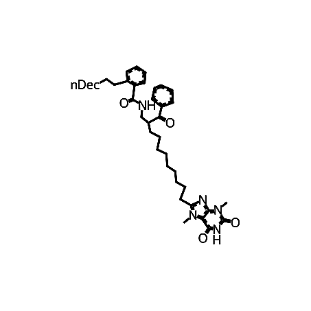 CCCCCCCCCCCCc1ccccc1C(=O)NCC(CCCCCCCCCc1nc2c(c(=O)[nH]c(=O)n2C)n1C)C(=O)c1ccccc1